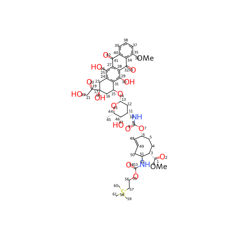 COC(=O)[C@H]1CC[C@@H](OC(=O)N[C@H]2C[C@@H](OC3C[C@](O)(C(=O)CO)Cc4c(O)c5c(c(O)c43)C(=O)c3c(OC)cccc3C5=O)O[C@@H](C)[C@H]2O)/C=C/C[C@@H]1NC(=O)OCCS(C)(C)C